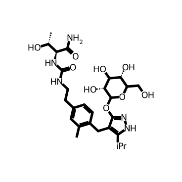 Cc1cc(CCNC(=O)N[C@H](C(N)=O)[C@@H](C)O)ccc1Cc1c(OC2OC(CO)[C@@H](O)C(O)[C@H]2O)n[nH]c1C(C)C